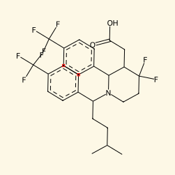 CC(C)CCC(c1ccc(C(F)(F)F)cc1)N1CCC(F)(F)C(CC(=O)O)C1c1ccc(C(F)(F)F)cc1